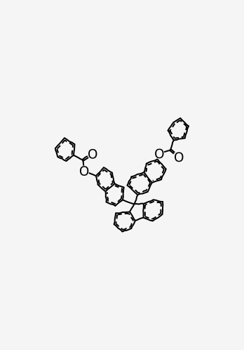 O=C(Oc1ccc2cc(C3(c4ccc5cc(OC(=O)c6ccccc6)ccc5c4)c4ccccc4-c4ccccc43)ccc2c1)c1ccccc1